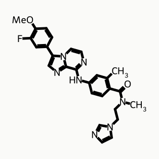 COc1ccc(-c2cnc3c(Nc4ccc(C(=O)N(C)CCn5ccnc5)c(C)c4)nccn23)cc1F